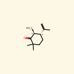 C=C(C)[C@@H]1CCC(C)(C)C(=O)[C@H]1C(=O)O